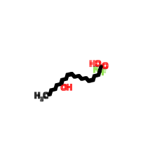 CCCCCC(O)=CC/C=C\CCCC/C=C\CCC(F)(F)C(=O)O